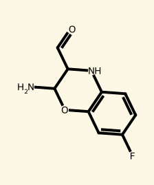 NC1Oc2cc(F)ccc2NC1C=O